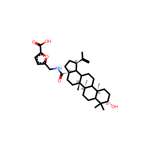 C=C(C)[C@@H]1CC[C@]2(C(=O)NCc3ccc(C(=O)O)o3)CC[C@]3(C)C(CCC4[C@@]5(C)CC[C@H](O)C(C)(C)C5CC[C@]43C)C12